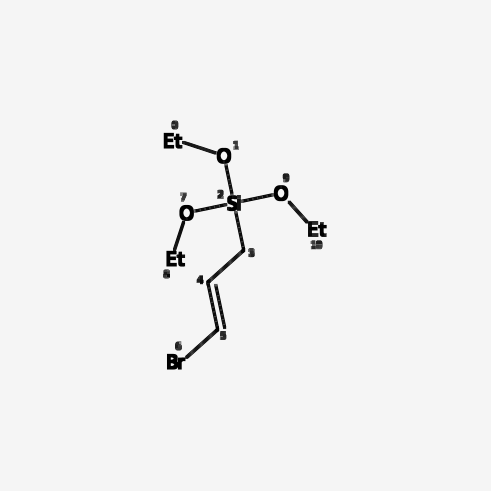 CCO[Si](CC=CBr)(OCC)OCC